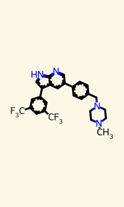 CN1CCN(Cc2ccc(-c3cnc4[nH]cc(-c5cc(C(F)(F)F)cc(C(F)(F)F)c5)c4c3)cc2)CC1